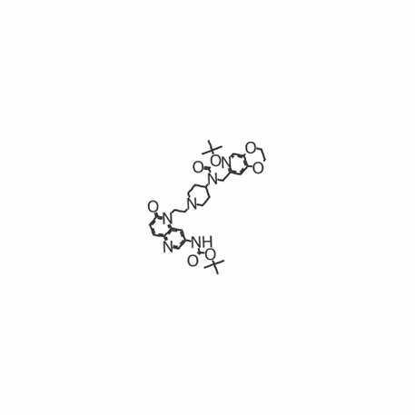 CC(C)(C)OC(=O)Nc1cnc2ccc(=O)n(CCN3CCC(N(Cc4cc5c(cn4)OCCO5)C(=O)OC(C)(C)C)CC3)c2c1